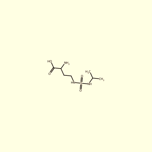 CC(C)NS(=O)(=O)NCCC(N)C(=O)O